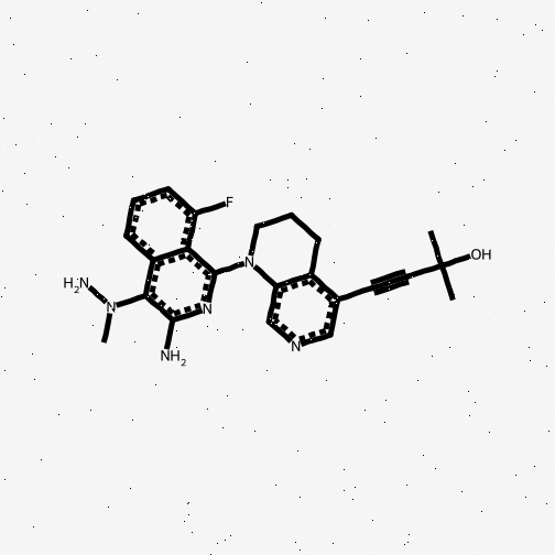 CN(N)c1c(N)nc(N2CCCc3c(C#CC(C)(C)O)cncc32)c2c(F)cccc12